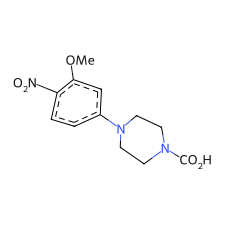 COc1cc(N2CCN(C(=O)O)CC2)ccc1[N+](=O)[O-]